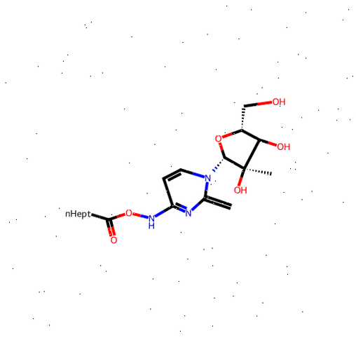 C=C1N=C(NOC(=O)CCCCCCC)C=CN1[C@@H]1O[C@H](CO)C(O)[C@@]1(C)O